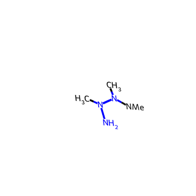 CNN(C)N(C)N